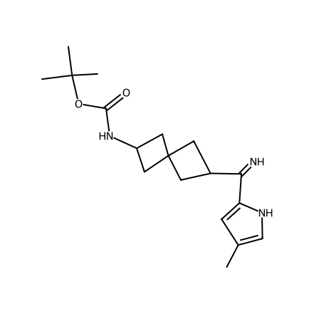 Cc1c[nH]c(C(=N)C2CC3(CC(NC(=O)OC(C)(C)C)C3)C2)c1